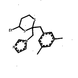 CCC1CCSC(Cc2cc(C)cc(C)c2)(Cn2ccnc2)S1